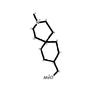 COCC1CCC2(CC1)CCN(C)CC2